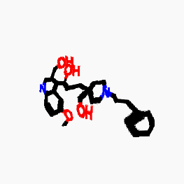 COc1ccc2ncc(CO)c([C@@H](O)CCC3(CO)CCN(CCCc4ccccc4)CC3)c2c1